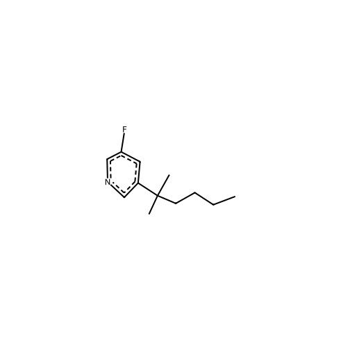 CCCCC(C)(C)c1cncc(F)c1